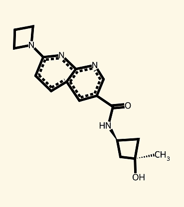 C[C@]1(O)C[C@@H](NC(=O)c2cnc3nc(N4CCC4)ccc3c2)C1